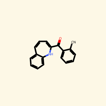 N#Cc1ccccc1C(=O)C1=CC=Cc2ccccc2N1